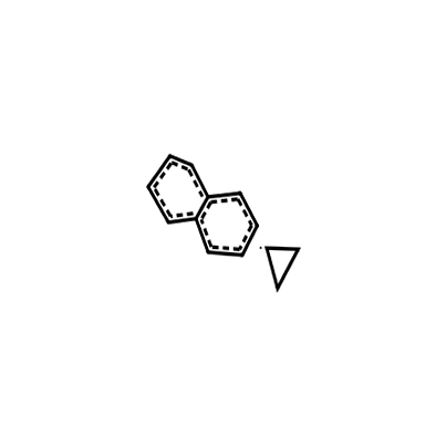 [CH]1CC1.c1ccc2ccccc2c1